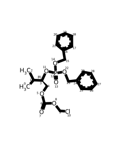 CC(C)[C@H](COC(=O)OCCl)OP(=O)(OCc1ccccc1)OCc1ccccc1